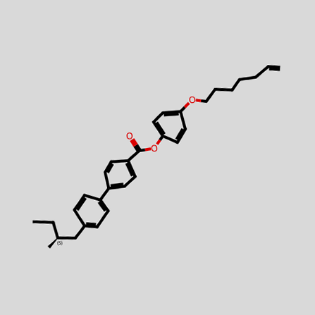 C=CCCCCCOc1ccc(OC(=O)c2ccc(-c3ccc(C[C@@H](C)CC)cc3)cc2)cc1